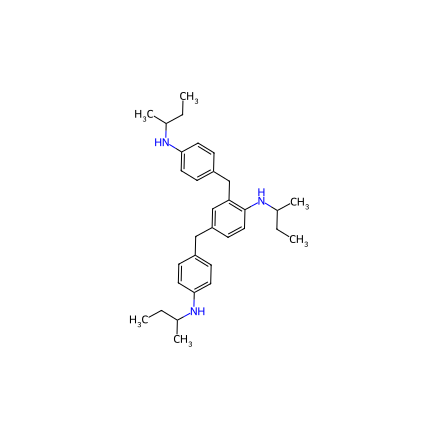 CCC(C)Nc1ccc(Cc2ccc(NC(C)CC)c(Cc3ccc(NC(C)CC)cc3)c2)cc1